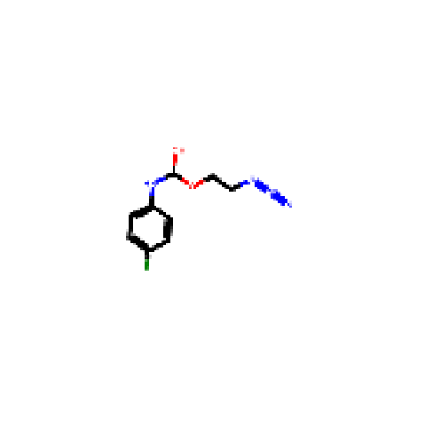 [N-]=[N+]=NCCO[C@H](O)Nc1ccc(F)cc1